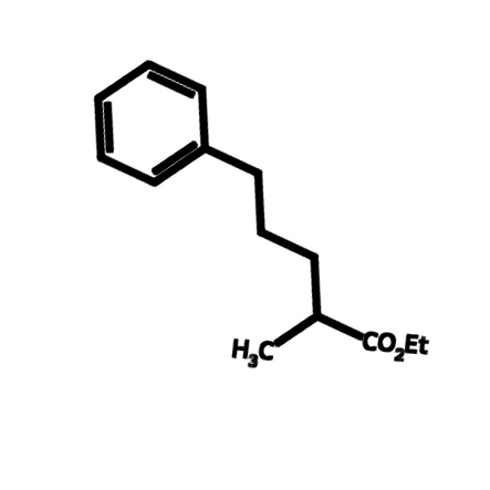 CCOC(=O)C(C)CCCc1ccccc1